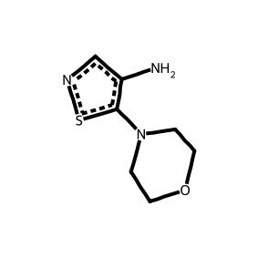 Nc1cnsc1N1CCOCC1